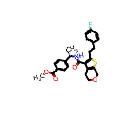 COC(=O)c1ccc([C@H](C)NC(=O)c2c(CCc3ccc(F)cc3)sc3c2CCOC3)cc1